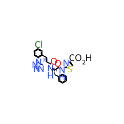 O=C(/C=C/c1cc(Cl)ccc1-n1cnnn1)N[C@@H](Cc1ccccc1)C(=O)Nc1nc(C(=O)O)cs1